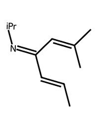 CC=C/C(C=C(C)C)=N/C(C)C